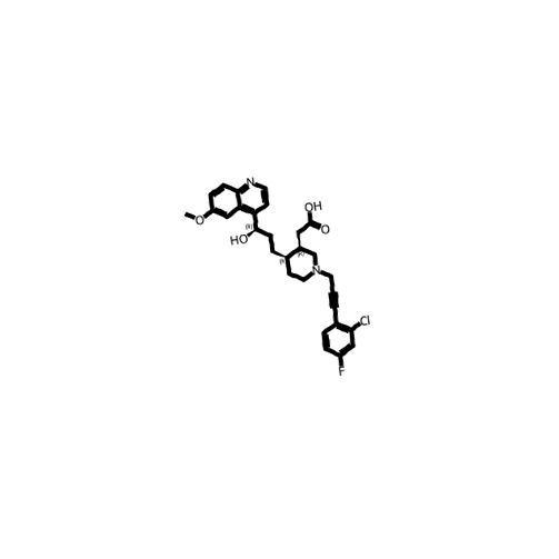 COc1ccc2nccc([C@H](O)CC[C@@H]3CCN(CC#Cc4ccc(F)cc4Cl)C[C@@H]3CC(=O)O)c2c1